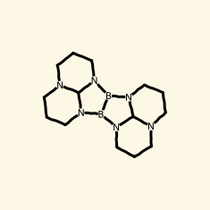 C1CN2CCCN3B4B(N(C1)C23)N1CCCN2CCCN4C21